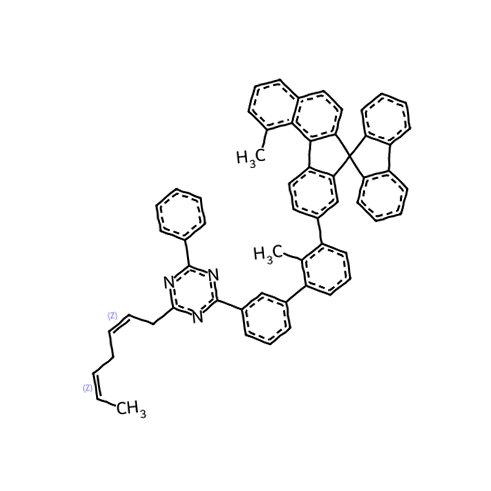 C/C=C\C/C=C\Cc1nc(-c2ccccc2)nc(-c2cccc(-c3cccc(-c4ccc5c(c4)C4(c6ccccc6-c6ccccc64)c4ccc6cccc(C)c6c4-5)c3C)c2)n1